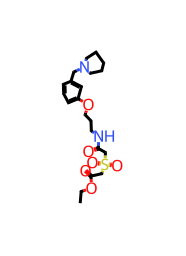 CCOC(=O)CS(=O)(=O)CC(=O)NCCCOc1cccc(CN2CCCCC2)c1